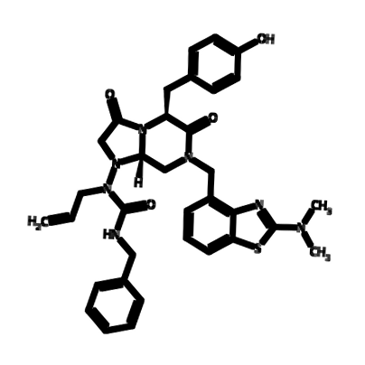 C=CCN(C(=O)NCc1ccccc1)N1CC(=O)N2[C@@H](Cc3ccc(O)cc3)C(=O)N(Cc3cccc4sc(N(C)C)nc34)C[C@@H]21